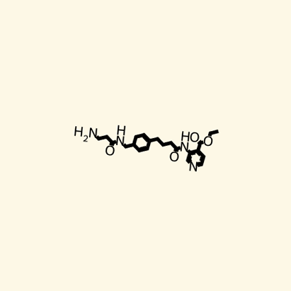 CCOC(=O)c1ccncc1NC(=O)CCCC1=CCC(CNC(=O)CCN)C=C1